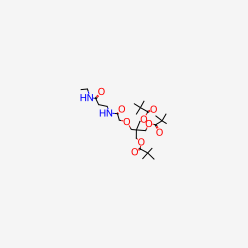 CCNC(=O)CCNC(=O)COCC(COC(=O)C(C)(C)C)(COC(=O)C(C)(C)C)COC(=O)C(C)(C)C